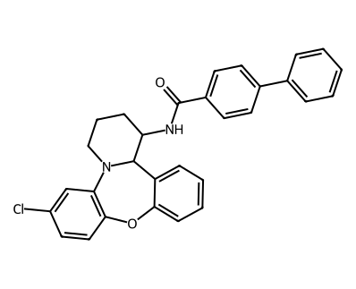 O=C(NC1CCCN2c3cc(Cl)ccc3Oc3ccccc3C12)c1ccc(-c2ccccc2)cc1